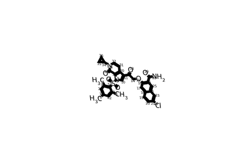 Cc1cc(C)c(S(=O)(=O)n2cc(C(=O)COc3cc4ccc(Cl)cc4cc3C(N)=O)c3ccn(C4CC4)c(=O)c32)c(C)c1